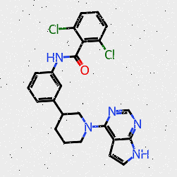 O=C(Nc1cccc(C2CCCN(c3ncnc4[nH]ccc34)C2)c1)c1c(Cl)cccc1Cl